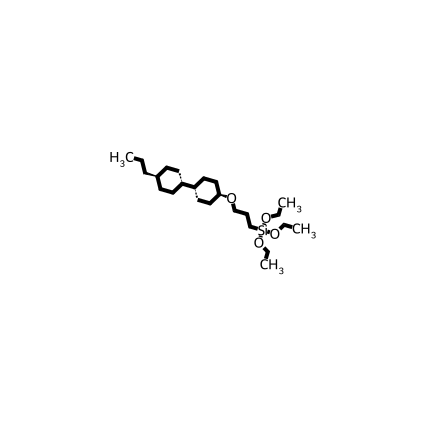 CCC[C@H]1CC[C@H]([C@H]2CC[C@H](OCCC[Si](OCC)(OCC)OCC)CC2)CC1